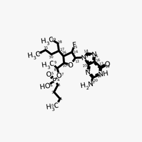 CCCCP(=O)(O)OC(C)C1OC(n2cnc3c(=O)[nH]c(N)nc32)C(F)C1C(CC)CCC